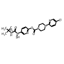 CC(C)(C)NC(=O)N(S)c1ccc(OC(=O)N2CCN(c3ccc(Cl)cn3)CC2)nc1